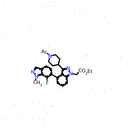 CCOC(=O)Cn1nc(C2CCN(C(C)=O)CC2)c2c(-c3ccc4cnn(C)c4c3F)cccc21